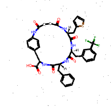 O=C1CCC(=O)N[C@H](Cc2cccs2)C(=O)N[C@@H](Cc2cccc(C(F)(F)F)c2)C(=O)N[C@H](Cc2ccccc2)C(=O)NC(C(=O)O)c2ccc(cc2)N1